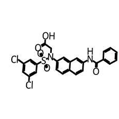 O=C(O)CN(c1ccc2ccc(NC(=O)c3ccccc3)cc2c1)S(=O)(=O)c1cc(Cl)cc(Cl)c1